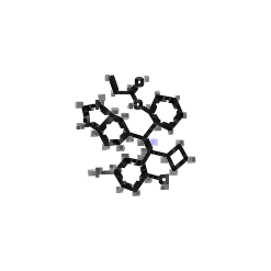 C=CC(=O)Oc1ccccc1/C(=C(/c1cc(F)ccc1Cl)C1CCC1)c1ccc2scnc2c1